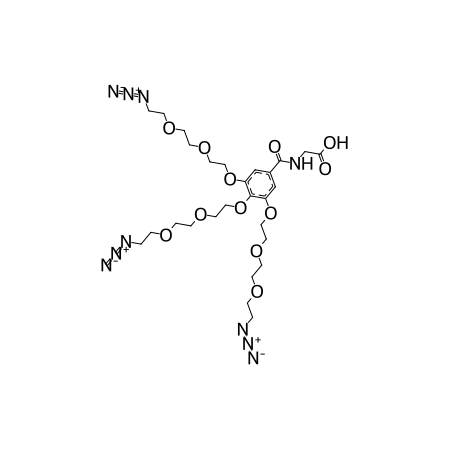 [N-]=[N+]=NCCOCCOCCOc1cc(C(=O)NCC(=O)O)cc(OCCOCCOCCN=[N+]=[N-])c1OCCOCCOCCN=[N+]=[N-]